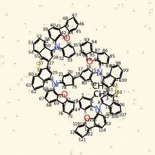 Cc1ccccc1N(c1cc2c3cc(N(c4ccc(-c5ccc(N(c6cc7c8cc(N(c9ccccc9)c9cccc%10c9oc9ccccc9%10)c9ccccc9c8sc7c7ccccc67)c6cccc7c6oc6ccccc67)cc5)cc4C)c4cccc5c4oc4ccccc45)c4ccccc4c3sc2c2ccccc12)c1cccc2c1oc1ccccc12